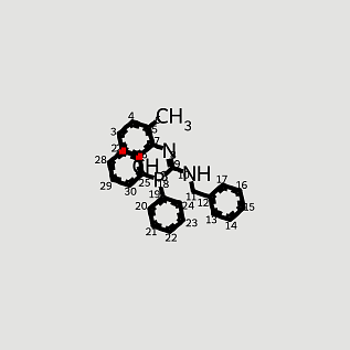 Cc1cccc(C)c1/N=C(/NCc1ccccc1)P(c1ccccc1)c1ccccc1